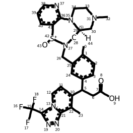 Cc1ccc(C(CC(=O)O)c2ccn3c(C(F)(F)F)nnc3c2C)cc1CN1C[C@@H]2CN(C)CCN2c2ncccc2[S+]1[O-]